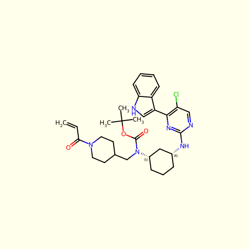 C=CC(=O)N1CCC(CN(C(=O)OC(C)(C)C)[C@H]2CCC[C@@H](Nc3ncc(Cl)c(-c4c[nH]c5ccccc45)n3)C2)CC1